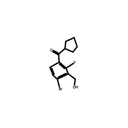 O=C(c1ccc(Br)c(CO)c1F)C1CCCC1